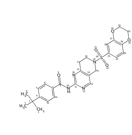 CC(C)(C)c1ccc(C(=O)Nc2ncc3c(n2)CCN(S(=O)(=O)c2ccc4c(c2)OCCO4)C3)cc1